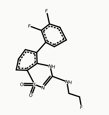 O=S1(=O)N=C(NCCF)Nc2c(-c3cccc(F)c3F)cccc21